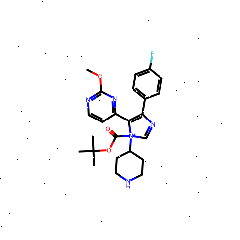 COc1nccc(C2=C(c3ccc(F)cc3)N=C[N+]2(C(=O)OC(C)(C)C)C2CCNCC2)n1